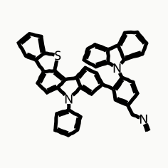 C=NCc1ccc(-n2c3ccccc3c3ccccc32)c(-c2ccc3c4c5sc6ccccc6c5ccc4n(-c4ccccc4)c3c2)c1